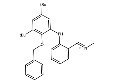 C/N=C/c1ccccc1Pc1cc(C(C)(C)C)cc(C(C)(C)C)c1OCc1ccccc1